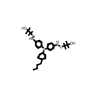 CCCCc1ccc(N(c2ccc(BOC(C)(C)C(C)(C)O)cc2)c2ccc(BOC(C)(C)C(C)(C)O)cc2)cc1